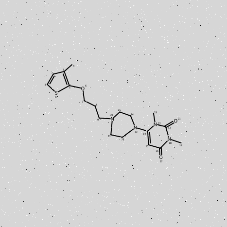 Cc1ccsc1OCCCN1CCN(c2cc(=O)n(C)c(=O)n2C)CC1